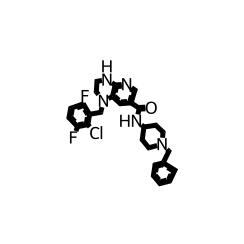 O=C(NC1CCN(Cc2ccccc2)CC1)c1cnc2c(c1)N(Cc1c(F)ccc(F)c1Cl)CCN2